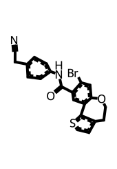 N#CCc1ccc(NC(=O)c2cc3c(cc2Br)OCCc2ccsc2-3)cc1